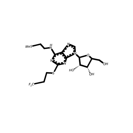 CSCCNc1nc(SCCC(F)(F)F)nc2c1ncn2C1OC(CO)[C@H](O)[C@@H]1O